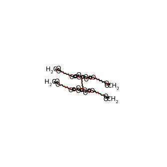 C=CC(=O)OCCCCCCCCCOc1ccc(C(=O)Oc2ccc(OC(=O)c3ccc(OCCCCCCCCCOC(=O)C=C)cc3)c(CCCCCCc3cc(OC(=O)c4ccc(OCCCCCCCCCOC(=O)C=C)cc4)ccc3OC(=O)c3ccc(OCCCCCCCCCOC(=O)C=C)cc3)c2)cc1